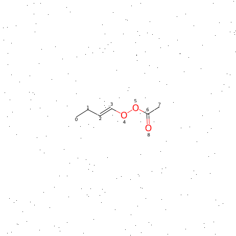 CCC=COOC(C)=O